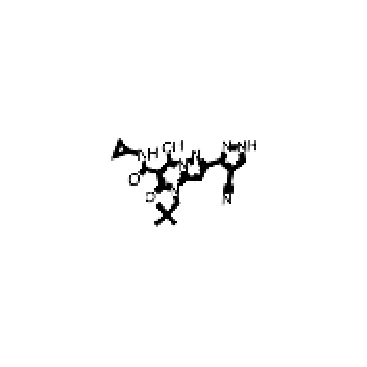 CC(C)(C)Cn1c(=O)c(C(=O)NC2CC2)c(O)n2nc(-c3n[nH]cc3C#N)cc12